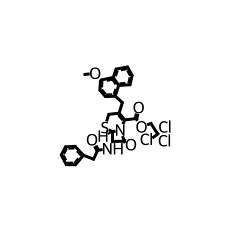 COc1ccc(CC2=C(C(=O)OCC(Cl)(Cl)Cl)N3C(=O)[C@@H](NC(=O)Cc4ccccc4)[C@@H]3SC2)c2ccccc12